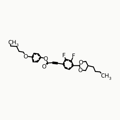 CCCCCOc1ccc(OC(=O)C#Cc2ccc(C3OCC(CCCC)CO3)c(F)c2F)cc1